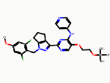 CCOc1cc(F)c(Cn2nc(-c3ncc(OCCO[Si](C)(C)C(C)(C)C)c(Nc4ccncc4)n3)c3c2CCC3)c(F)c1